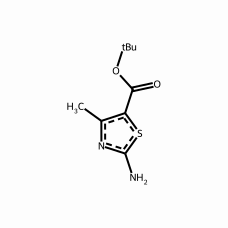 Cc1nc(N)sc1C(=O)OC(C)(C)C